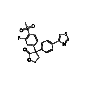 CS(=O)(=O)c1ccc(C2(c3ccc(-c4cscn4)cc3)CCOC2=O)cc1F